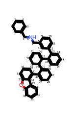 C1=CCCC(CNCc2cccc(-c3ccccc3C3=CC=CCC3C3=CCCC=C3c3cccc4oc5ccccc5c34)c2)=C1